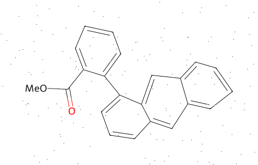 COC(=O)c1ccccc1-c1cccc2cc3ccccc3cc12